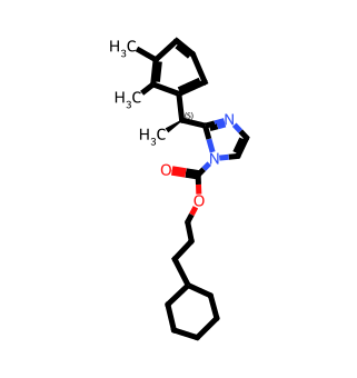 Cc1cccc([C@H](C)c2nccn2C(=O)OCCCC2CCCCC2)c1C